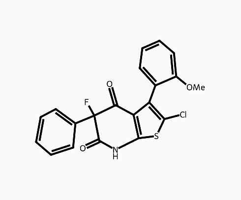 COc1ccccc1-c1c(Cl)sc2c1C(=O)C(F)(c1ccccc1)C(=O)N2